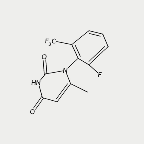 Cc1cc(=O)[nH]c(=O)n1-c1c(F)cccc1C(F)(F)F